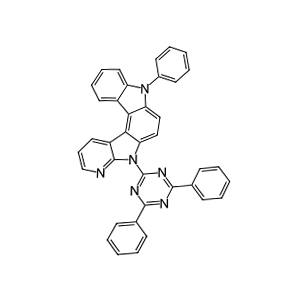 c1ccc(-c2nc(-c3ccccc3)nc(-n3c4ccc5c(c6ccccc6n5-c5ccccc5)c4c4cccnc43)n2)cc1